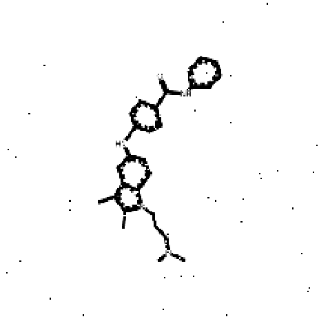 Cc1c(C)n(CCCN(C)C)c2ccc(Nc3ccc(C(=O)Nc4ccccc4)cc3)cc12